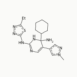 CCc1nnc(NC2=NC=C(c3cnn(C)c3)C(N)(C3CCCCC3)N2)s1